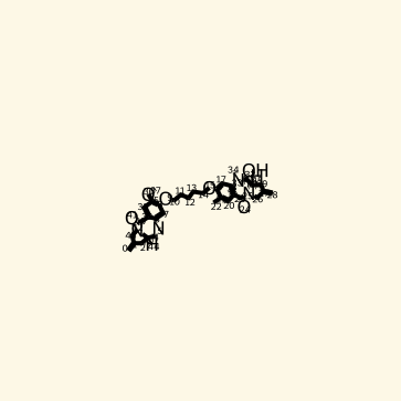 C=C1C[C@H]2C=Nc3cc(OCCCCCOc4cc5c(cc4C)C(=O)N4CC(=C)C[C@H]4[C@H](O)N5C)c(OC)cc3C(=O)N2C1